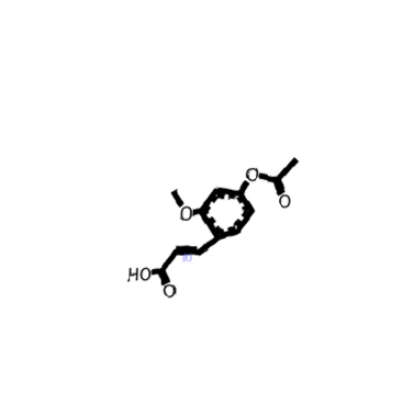 COc1cc(OC(C)=O)ccc1/C=C/C(=O)O